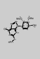 CCCSc1nc(Cl)c2nnn([C@@H]3C=C[C@H](O)[C@@H](OC)[C@H]3OC)c2n1